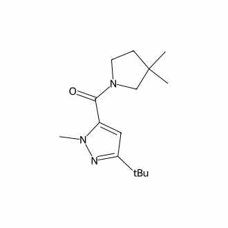 Cn1nc(C(C)(C)C)cc1C(=O)N1CCC(C)(C)C1